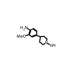 CCCN1CCC(c2ccc(N)c(OC)c2)CC1